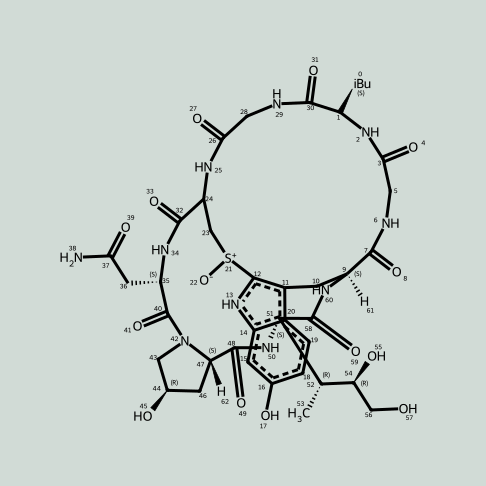 CC[C@H](C)C1NC(=O)CNC(=O)[C@@H]2Cc3c([nH]c4cc(O)ccc34)[S+]([O-])CC(NC(=O)CNC1=O)C(=O)N[C@@H](CC(N)=O)C(=O)N1C[C@H](O)C[C@H]1C(=O)N[C@@H]([C@@H](C)[C@@H](O)CO)C(=O)N2